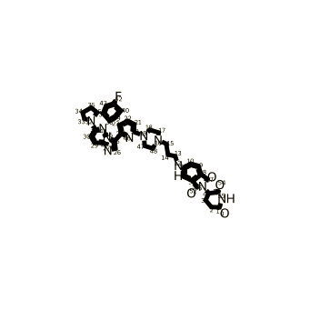 O=C1CCC(N2C(=O)c3ccc(NCCCN4CCN(c5cccc(-c6cnc7ccc(N8CCC[C@@H]8c8cccc(F)c8)nn67)n5)CC4)cc3C2=O)C(=O)N1